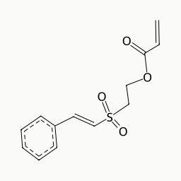 C=CC(=O)OCCS(=O)(=O)C=Cc1ccccc1